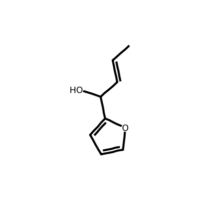 CC=CC(O)c1ccco1